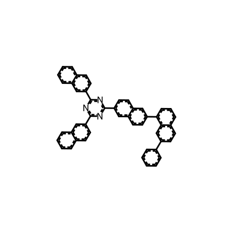 c1ccc(-c2ccc3cccc(-c4ccc5cc(-c6nc(-c7ccc8ccccc8c7)nc(-c7ccc8ccccc8c7)n6)ccc5c4)c3c2)cc1